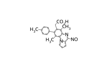 Cc1ccc(-c2c(CC(=O)O)c(C)c3nc(N=O)c4cccn4c3c2C)cc1